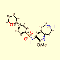 COc1nc2c(cc1NS(=O)(=O)c1ccc([C@H]3CCCCO3)cc1)CCNCC2